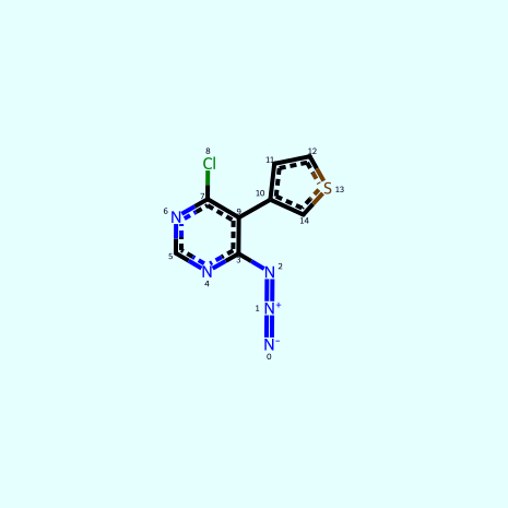 [N-]=[N+]=Nc1ncnc(Cl)c1-c1ccsc1